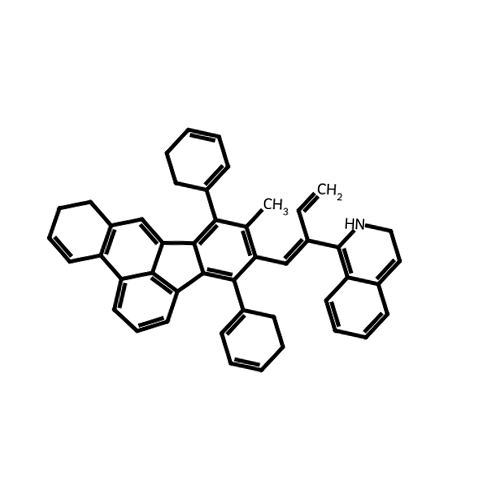 C=C/C(=C\c1c(C)c(C2=CC=CCC2)c2c(c1C1=CC=CCC1)-c1cccc3c4c(cc-2c13)CCC=C4)C1=c2ccccc2=CCN1